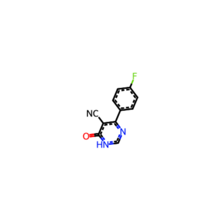 N#Cc1c(-c2ccc(F)cc2)nc[nH]c1=O